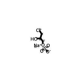 O=S(=O)([O-])OCC(O)CCl.[Na+]